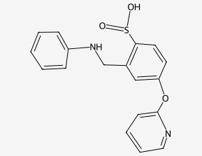 O=S(O)c1ccc(Oc2ccccn2)cc1CNc1ccccc1